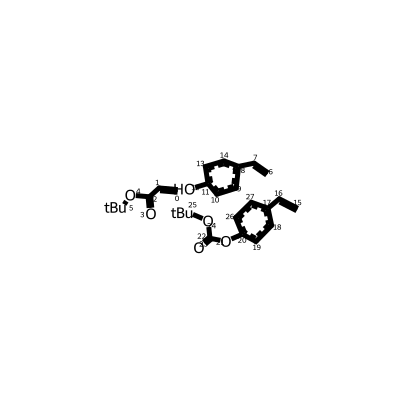 C=CC(=O)OC(C)(C)C.C=Cc1ccc(O)cc1.C=Cc1ccc(OC(=O)OC(C)(C)C)cc1